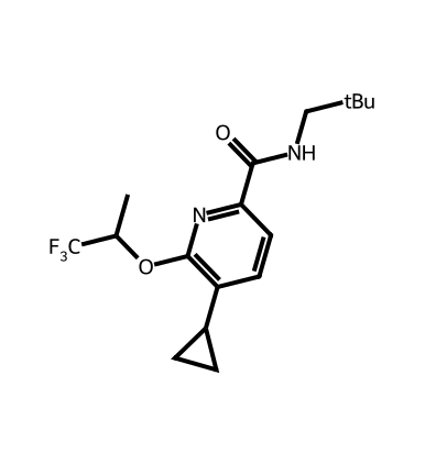 CC(Oc1nc(C(=O)NCC(C)(C)C)ccc1C1CC1)C(F)(F)F